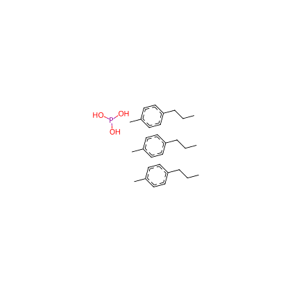 CCCc1ccc(C)cc1.CCCc1ccc(C)cc1.CCCc1ccc(C)cc1.OP(O)O